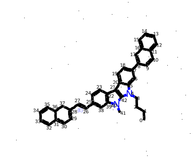 CCCCn1c2cc(-c3ccc4ccccc4c3)ccc2c2c3ccc(/C=C/C4=CC=C5C=CC=CC5C4)cc3n(C)c21